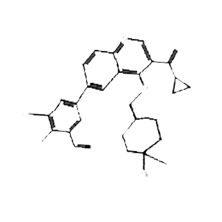 CC1(N)CCC(CNc2c(C(=O)C3CC3)cnc3ccc(-c4cc(Cl)c(O)c(C=O)c4)cc23)CC1